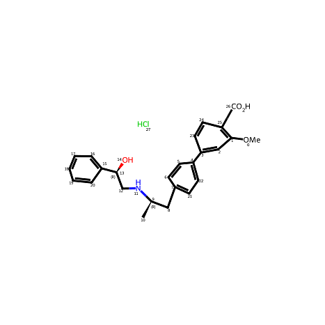 COc1cc(-c2ccc(C[C@@H](C)NC[C@H](O)c3ccccc3)cc2)ccc1C(=O)O.Cl